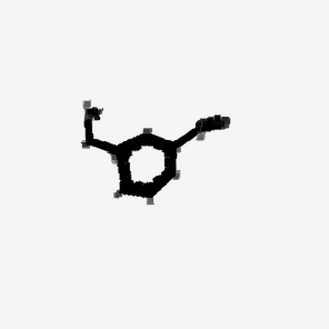 COc1cccc(CC(C)C)c1